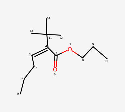 CCCC=C(C(=O)OCCC)C(C)(C)C